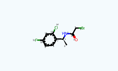 C[C@H](NC(=O)CBr)c1ccc(F)cc1Cl